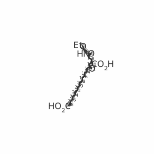 CCOCCNC(=O)CC[C@H](CC(=O)CCCCCCCCCCCCCCCCC(=O)O)C(=O)O